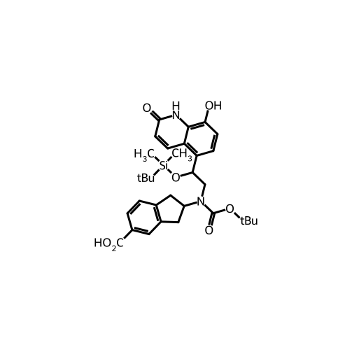 CC(C)(C)OC(=O)N(CC(O[Si](C)(C)C(C)(C)C)c1ccc(O)c2[nH]c(=O)ccc12)C1Cc2ccc(C(=O)O)cc2C1